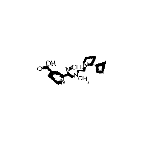 C=N/C(=C\N(C)CCN1CCC[C@@H]1C1CCC1)c1cc(C(=O)O)ccn1